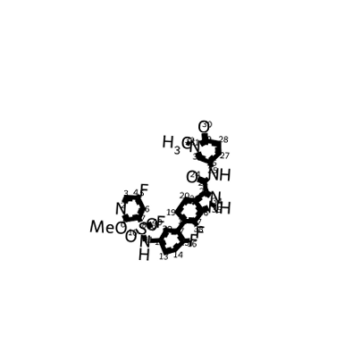 COc1ncc(F)cc1S(=O)(=O)Nc1ccc(F)c(-c2ccc3c(C(=O)Nc4ccc(=O)n(C)c4)n[nH]c3c2F)c1F